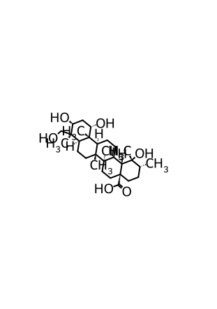 C[C@@H]1CC[C@]2(C(=O)O)CC[C@]3(C)C(=CC[C@@H]4[C@@]5(C)[C@@H](O)C[C@H](O)[C@@](C)(CO)[C@@H]5CC[C@]43C)[C@@H]2[C@]1(C)O